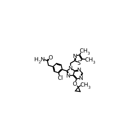 Cc1nc(Cn2c(-c3ccc(CC(N)=O)cc3Cl)nc3c(OC4(C)CC4)ncnc32)sc1C